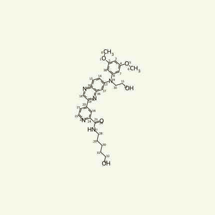 COc1cc(OC)cc(N(CCO)c2ccc3ncc(-c4ccnc(C(=O)NCCCCCO)c4)nc3c2)c1